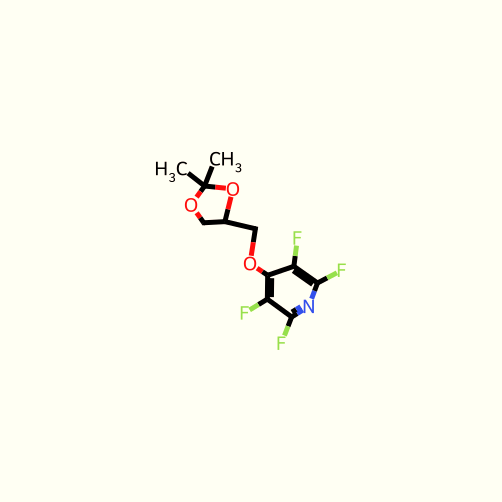 CC1(C)OCC(COc2c(F)c(F)nc(F)c2F)O1